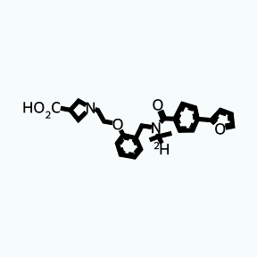 [2H]C(C)(C)N(Cc1ccccc1OCCN1CC(C(=O)O)C1)C(=O)c1ccc(-c2ccco2)cc1